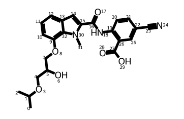 CC(C)OCC(O)COc1cccc2cc(C(=O)Nc3ccc(C#N)cc3C(=O)O)n(C)c12